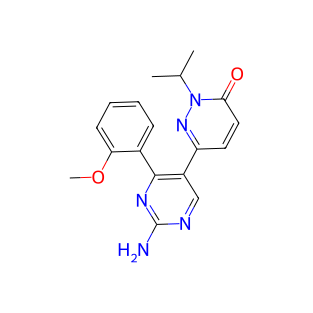 COc1ccccc1-c1nc(N)ncc1-c1ccc(=O)n(C(C)C)n1